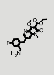 CCOC(=O)c1c(OC)c2ncc(Cc3ccc(F)cc3CN)cc2n(C)c1=O